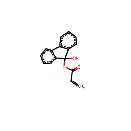 C=CC(=O)OC1(O)c2ccccc2-c2ccccc21